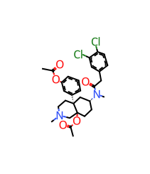 CC(=O)Oc1cccc([C@@]23CCN(C)C[C@@]2(OC(C)=O)CC[C@@H](N(C)C(=O)Cc2ccc(Cl)c(Cl)c2)C3)c1